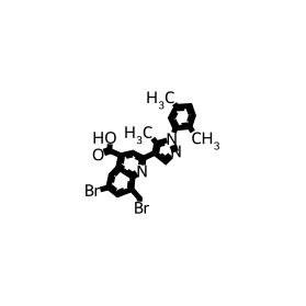 Cc1ccc(C)c(-n2ncc(-c3cc(C(=O)O)c4cc(Br)cc(CBr)c4n3)c2C)c1